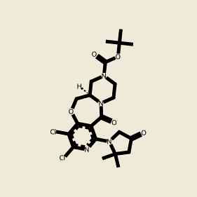 CC(C)(C)OC(=O)N1CCN2C(=O)c3c(N4CC(=O)CC4(C)C)nc(Cl)c(Cl)c3OC[C@H]2C1